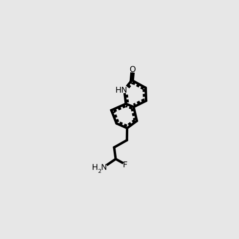 NC(F)CCc1ccc2[nH]c(=O)ccc2c1